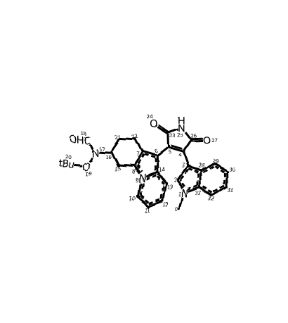 Cn1cc(C2=C(c3c4c(n5ccccc35)CC(N(C=O)OC(C)(C)C)CC4)C(=O)NC2=O)c2ccccc21